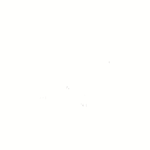 Cl.Cl.O=C1NCCN2CC(c3ccccc3)c3ccc(O)cc3C12